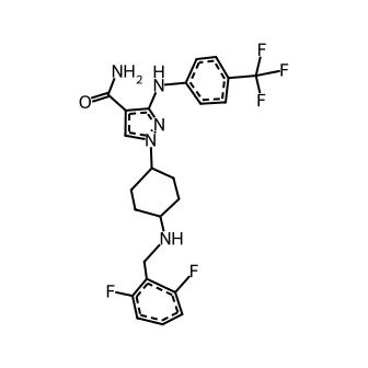 NC(=O)c1cn(C2CCC(NCc3c(F)cccc3F)CC2)nc1Nc1ccc(C(F)(F)F)cc1